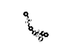 Nc1ncc(-c2ccc(CCNC(=O)OCc3ccccc3)cc2)nc1C(=O)Nc1cnc2ccccc2c1N1CCOCC1